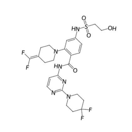 O=C(Nc1ccnc(N2CCC(F)(F)CC2)n1)c1ccc(NS(=O)(=O)CCO)cc1N1CCC(=C(F)F)CC1